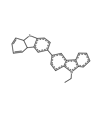 CCn1c2ccccc2c2cc(-c3ccc4c(c3)C3C=CC=CC3S4)ccc21